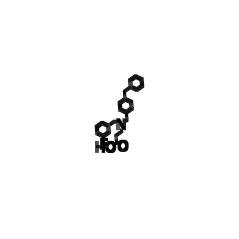 O=C(O)CCN(Cc1ccc(Cc2ccccc2)cc1)Cc1cccc(F)c1